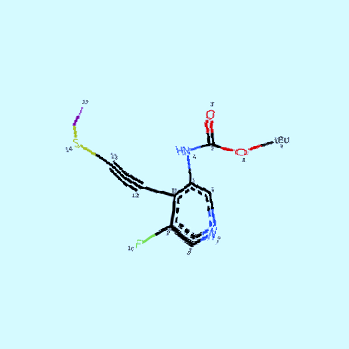 CC(C)(C)OC(=O)Nc1cncc(F)c1C#CSI